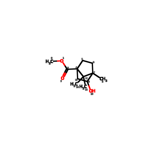 COC(=O)C12CCC(C)(C(O)C1)C2(C)C